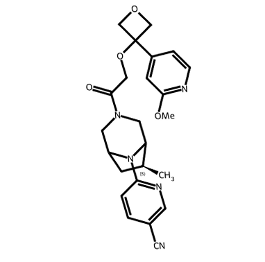 COc1cc(C2(OCC(=O)N3CC4C[C@H](C)C(C3)N4c3ccc(C#N)cn3)COC2)ccn1